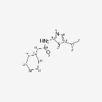 CC(C)c1cnc(NC(=O)CC2CCCCC2)s1